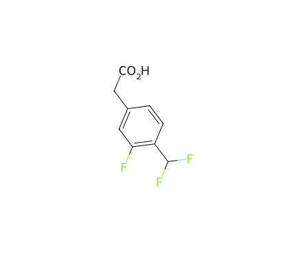 O=C(O)Cc1ccc(C(F)F)c(F)c1